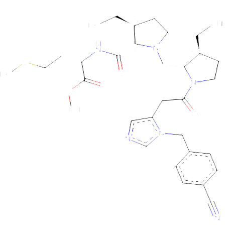 CC[C@H]1CCN(C[C@@H]2[C@@H](CC)CCN2C(=O)Cc2cncn2Cc2ccc(C#N)cc2)[C@@H]1C(=O)N[C@@H](CCSC)C(=O)OC